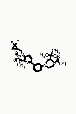 CN1c2nc(-c3cccc(N4CCN(C(=O)O)C(C(C)(C)C)C4)c3)ccc2N(CC2CC2(F)F)S1(=O)=O